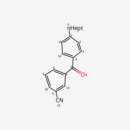 CCCCCCCc1ccc(C(=O)c2cccc(C#N)c2)cc1